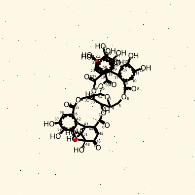 O=C1O[C@@H]2C3COC(=O)c4cc(O)c(O)c(O)c4-c4c(cc(O)c(O)c4O)C(=O)O[C@H]2C(OC(=O)c2cc(O)c(O)c4c2[C@@H]2C1=CC(=O)[C@](O)(O4)C2(O)O)[C@H](OC(=O)c1cc(O)c(O)c(O)c1)O3